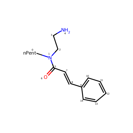 CCCCCN(CCN)C(=O)C=Cc1ccccc1